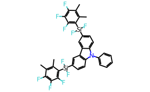 Cc1c(C)c([Si](F)(F)c2ccc3c(c2)c2cc([Si](F)(F)c4c(C)c(C)c(F)c(F)c4F)ccc2n3-c2ccccc2)c(F)c(F)c1F